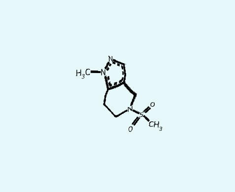 Cn1n[c]c2c1CCN(S(C)(=O)=O)C2